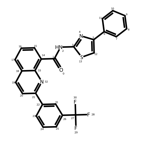 O=C(Nc1nc(-c2ccccc2)cs1)c1cccc2ccc(-c3cccc(C(F)(F)F)c3)nc12